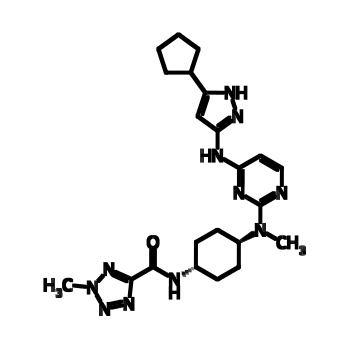 Cn1nnc(C(=O)N[C@H]2CC[C@H](N(C)c3nccc(Nc4cc(C5CCCC5)[nH]n4)n3)CC2)n1